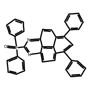 O=P(c1ccccc1)(c1ccccc1)c1nc2ccc3c(-c4ccccc4)cc(-c4ccccc4)c4ccc(n1)c2c34